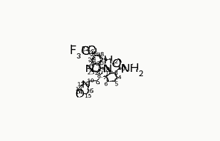 NC(=O)c1cccc(CCCN2CCOCC2)c1Nc1ccnc2cc(OC(F)(F)F)ccc12